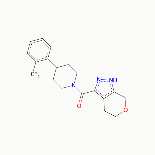 O=C(c1n[nH]c2c1CCOC2)N1CCC(c2ccccc2C(F)(F)F)CC1